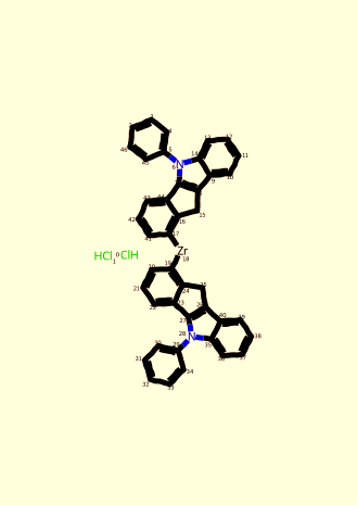 Cl.Cl.c1ccc(-n2c3c(c4ccccc42)Cc2[c]([Zr][c]4cccc5c4Cc4c-5n(-c5ccccc5)c5ccccc45)cccc2-3)cc1